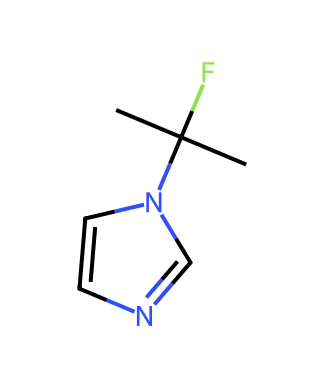 CC(C)(F)n1ccnc1